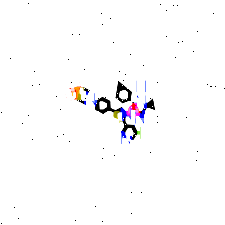 N#CC1(NC(=O)[C@@H]2CC3CC3C[C@H]2c2nc(-c3cncc(F)c3)sc2-c2ccc(N3CCS(=O)(=O)CC3)cc2)CC1